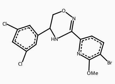 COc1nc(C2=NOCC(c3cc(Cl)cc(Cl)c3)N2)ccc1Br